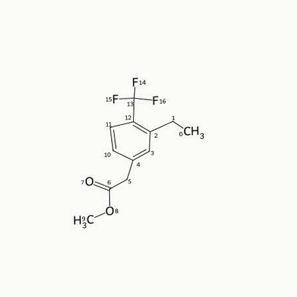 CCc1cc(CC(=O)OC)ccc1C(F)(F)F